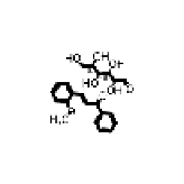 COc1ccccc1C=CC(=O)c1ccccc1.O=C[C@H](O)[C@@H](O)[C@H](O)[C@H](O)CO